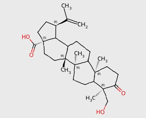 C=C(C)[C@@H]1CC[C@]2(C(=O)O)CC[C@]3(C)C(CCC4[C@@]5(C)CCC(=O)[C@@](C)(CO)C5CC[C@]43C)C12